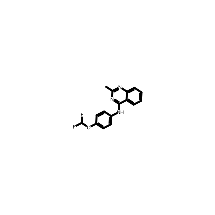 Cc1nc(Nc2ccc(OC(F)F)cc2)c2ccccc2n1